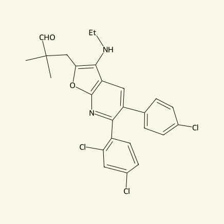 CCNc1c(CC(C)(C)C=O)oc2nc(-c3ccc(Cl)cc3Cl)c(-c3ccc(Cl)cc3)cc12